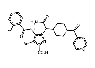 NC(=O)C(C1CCN(C(=O)c2ccncc2)CC1)n1nc(C(=O)O)c(Br)c1NC(=O)c1ccccc1Cl